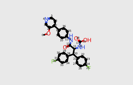 COc1cnccc1-c1ccc(NC(=O)C(NC(=O)O)C(c2ccc(F)cc2)c2ccc(F)cc2)cc1